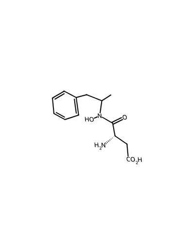 CC(Cc1ccccc1)N(O)C(=O)[C@@H](N)CC(=O)O